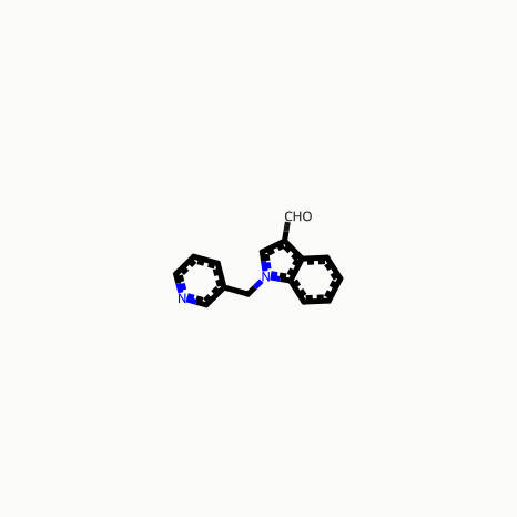 O=Cc1cn(Cc2cccnc2)c2ccccc12